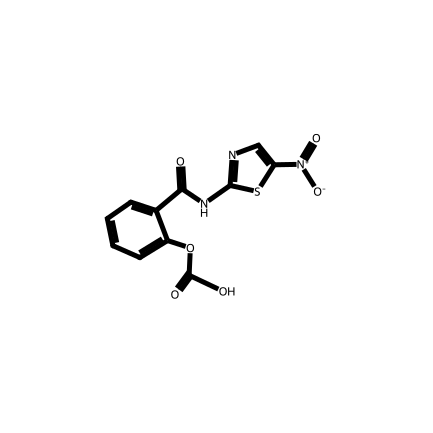 O=C(O)Oc1ccccc1C(=O)Nc1ncc([N+](=O)[O-])s1